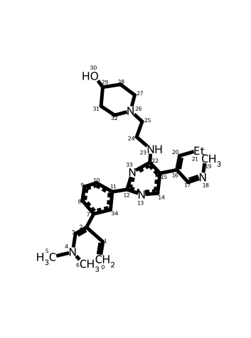 C=C/C(=C\N(C)C)c1cccc(-c2ncc(C(/C=N\C)=C/CC)c(NCCN3CCC(O)CC3)n2)c1